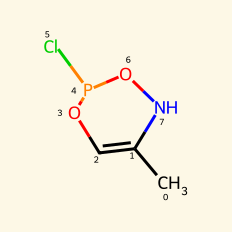 Cc1cop(Cl)o[nH]1